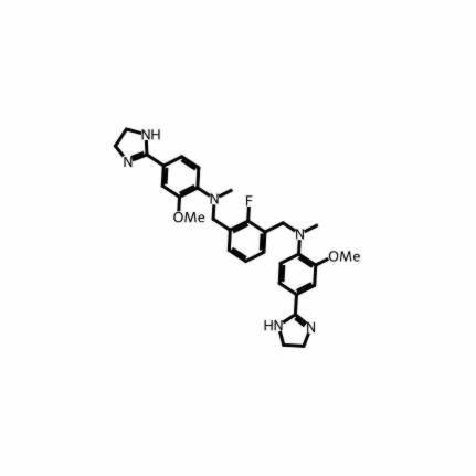 COc1cc(C2=NCCN2)ccc1N(C)Cc1cccc(CN(C)c2ccc(C3=NCCN3)cc2OC)c1F